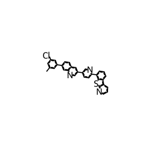 Cc1cc(Cl)cc(-c2ccc3cc(-c4ccc(-c5cccc6c5sc5ncccc56)nc4)cnc3c2)c1